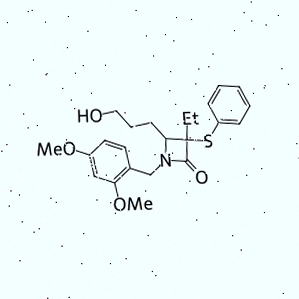 CCC1(Sc2ccccc2)C(=O)N(Cc2ccc(OC)cc2OC)C1CCCO